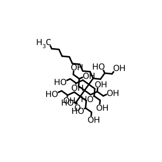 CCCCCCCCCC(CC(O)CO)C(CC(O)CO)(CC(O)CO)C(CC(O)CO)(CC(O)CO)C(CC(O)CO)(CC(O)CO)C(=O)O